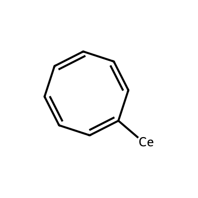 [Ce][C]1=CC=CC=CC=C1